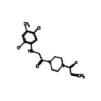 C=CC(=O)N1CCN(C(=O)CNc2cc(Cl)c(C)cc2Cl)CC1